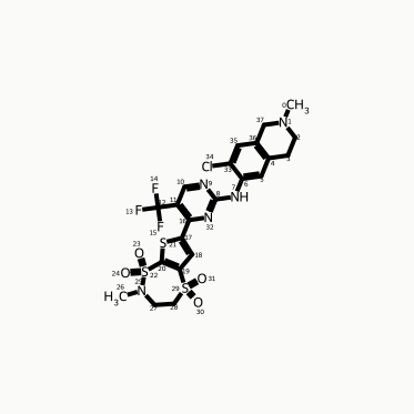 CN1CCc2cc(Nc3ncc(C(F)(F)F)c(-c4cc5c(s4)S(=O)(=O)N(C)CCS5(=O)=O)n3)c(Cl)cc2C1